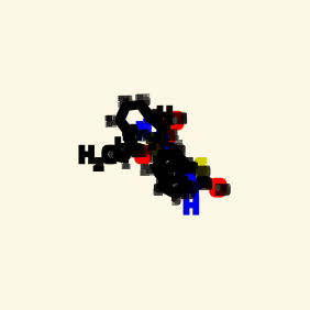 C=C[C@@H]1CN(Cc2ccccn2)C(=O)[C@@H]2CCC[C@H]1N2S(=O)(=O)c1ccc2[nH]c(=O)sc2c1